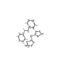 c1c[c]([Zr][c]2cc[pH]p2)p[pH]1.c1ccc(CCc2ccccc2)cc1